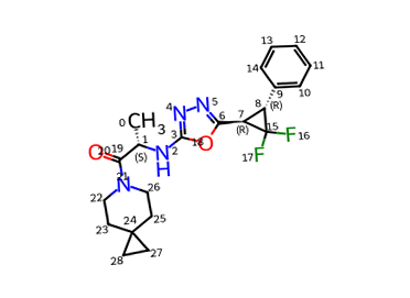 C[C@H](Nc1nnc([C@H]2[C@H](c3ccccc3)C2(F)F)o1)C(=O)N1CCC2(CC1)CC2